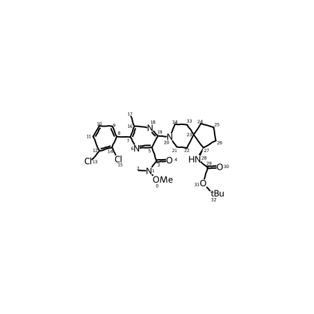 CON(C)C(=O)c1nc(-c2cccc(Cl)c2Cl)c(C)nc1N1CCC2(CCC[C@H]2NC(=O)OC(C)(C)C)CC1